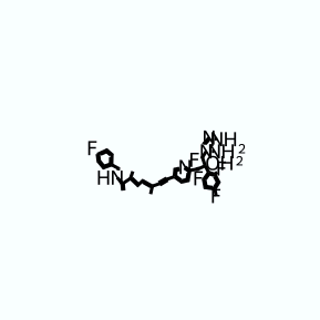 C=C(NCc1ccc(F)cc1)/C(C)=C/C=C(\C)C#Cc1ccc(C(F)(F)C(O)(CN(N)/C=N\N)c2ccc(F)cc2F)nc1